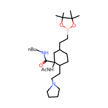 CCCCNC(=O)C1(NC(C)=O)CC(CCB2OC(C)(C)C(C)(C)O2)CCC1CCN1CCCC1